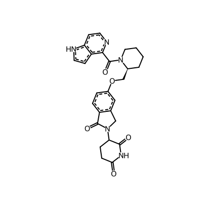 O=C1CCC(N2Cc3cc(OC[C@@H]4CCCCN4C(=O)c4nccc5[nH]ccc45)ccc3C2=O)C(=O)N1